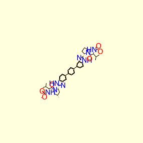 COC(=O)NC(C(=O)N1C[C@@H](C)C[C@H]1c1nc2cc(-c3ccc(-c4ccc5[nH]c([C@@H]6CCCN6C(=O)[C@@H](NC(=O)OC)C(C)C)nc5c4)cc3)ccc2[nH]1)C(C)C